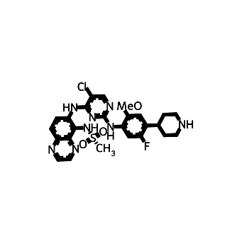 COc1cc(C2CCNCC2)c(F)cc1Nc1ncc(Cl)c(Nc2ccc3nccnc3c2NS(C)(=O)=O)n1